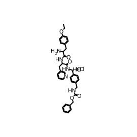 CCOc1ccc(CC(N)C(=O)NC(Cc2cccnc2)C(=O)NCc2ccc(CNC(=O)OCc3ccccc3)cc2)cc1.Cl.Cl